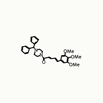 COc1cc(/C=C/C=C/C(=O)N2CCN(C(c3ccccc3)c3ccccc3)CC2)cc(OC)c1OC